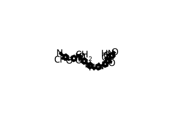 C=[N+]([C@H]1CC[C@H](Oc2ccc(C#N)c(Cl)c2)CC1)S(=O)(=O)c1ccc(N2CCN(CC3CCN(c4ccc5c(c4)C(=O)N(C4CCC(=O)NC4=O)C5=O)CC3)CC2)cc1